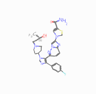 NC(=O)C1=CN(c2cn3nc(-c4c(-c5ccc(F)cc5)ncn4C4CCN(C[C@H](O)C(F)(F)F)CC4)ccc3n2)CS1